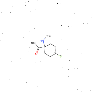 CC(C)(C)NC1(C(=O)C(C)(C)C)CCC(F)CC1